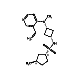 C=Cc1cncnc1N(C)[C@H]1C[C@@H](NS(=O)(=O)[C@@H]2CC[C@@H](C)C2)C1